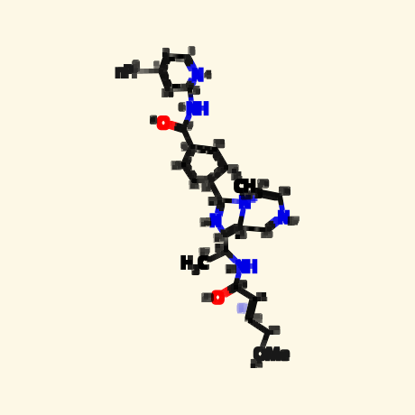 CCCc1ccnc(NC(=O)c2ccc(C3=NC(C(C)NC(=O)/C=C/COC)=C4C=NC=C[N+]34C)cc2)c1